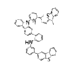 Cc1c(/C=C\C(C)C2C=CC=C(n3c4ccccc4c4ccc(-c5ccccc5Nc5cccc(-c6ccc7sc8ccccc8c7c6)c5)cc43)N2C)sc2ccccc12